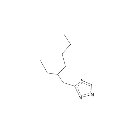 CCCCC(CC)Cc1nncs1